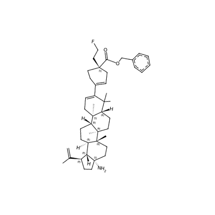 C=C(C)[C@@H]1CC[C@]2(N)CC[C@]3(C)[C@H](CC[C@@H]4[C@@]5(C)CC=C(C6=CC[C@@](CCF)(C(=O)OCc7ccccc7)CC6)C(C)(C)[C@@H]5CC[C@]43C)[C@@H]12